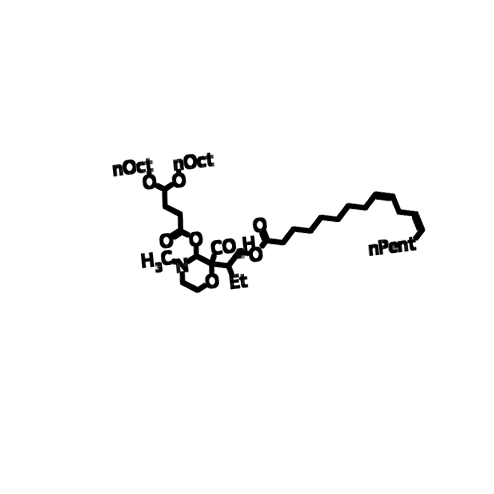 CCCCC/C=C\C/C=C\CCCCCCCC(=O)OCC(CC)C1(C(=O)O)OCCN(C)C1OC(=O)CCC(OCCCCCCCC)OCCCCCCCC